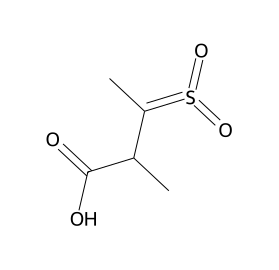 CC(C(C)C(=O)O)=S(=O)=O